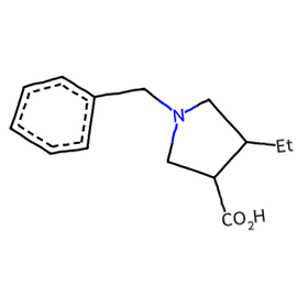 CCC1CN(Cc2ccccc2)CC1C(=O)O